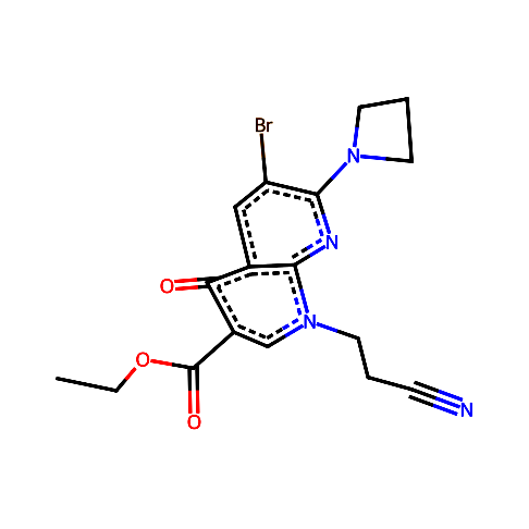 CCOC(=O)c1cn(CCC#N)c2nc(N3CCC3)c(Br)cc2c1=O